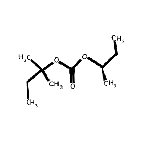 CC[C@@H](C)OC(=O)OC(C)(C)CC